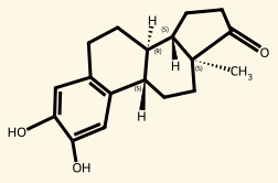 C[C@]12CC[C@@H]3c4cc(O)c(O)cc4CC[C@H]3[C@@H]1CCC2=O